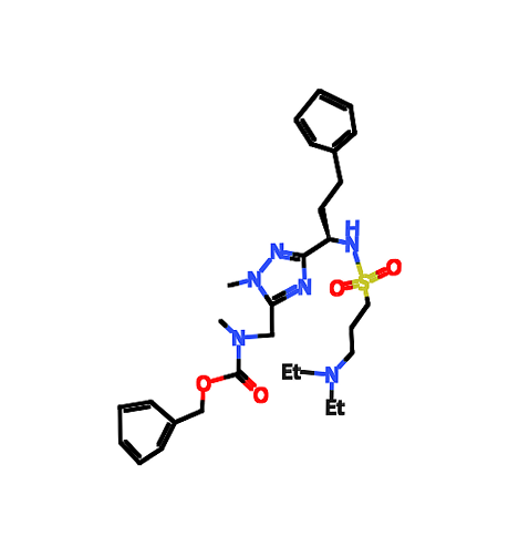 CCN(CC)CCCS(=O)(=O)N[C@H](CCc1ccccc1)c1nc(CN(C)C(=O)OCc2ccccc2)n(C)n1